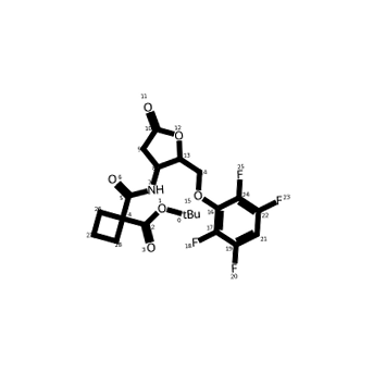 CC(C)(C)OC(=O)C1(C(=O)NC2CC(=O)OC2COc2c(F)c(F)cc(F)c2F)CCC1